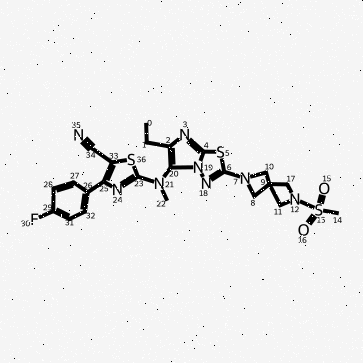 CCc1nc2sc(N3CC4(C3)CN(S(C)(=O)=O)C4)nn2c1N(C)c1nc(-c2ccc(F)cc2)c(C#N)s1